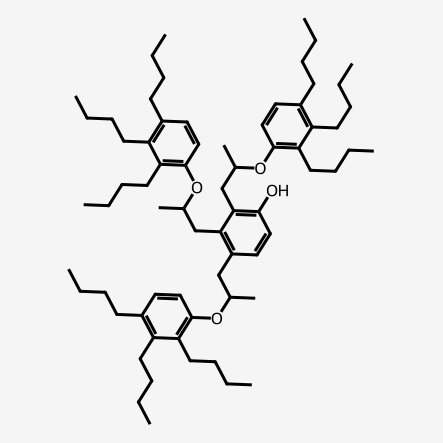 CCCCc1ccc(OC(C)Cc2ccc(O)c(CC(C)Oc3ccc(CCCC)c(CCCC)c3CCCC)c2CC(C)Oc2ccc(CCCC)c(CCCC)c2CCCC)c(CCCC)c1CCCC